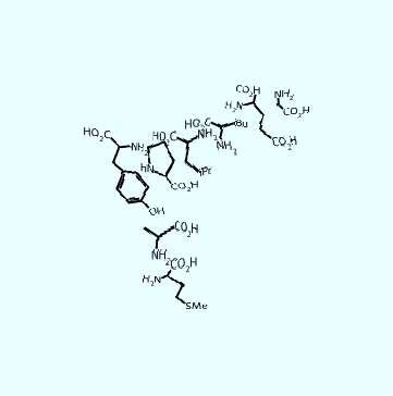 CC(C)CC(N)C(=O)O.CC(N)C(=O)O.CCC(C)C(N)C(=O)O.CSCCC(N)C(=O)O.NC(CCC(=O)O)C(=O)O.NC(Cc1ccc(O)cc1)C(=O)O.NCC(=O)O.O=C(O)[C@@H]1CCCN1